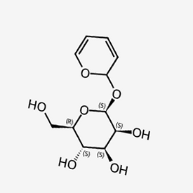 OC[C@H]1O[C@@H](OC2C=CC=CO2)[C@@H](O)[C@@H](O)[C@@H]1O